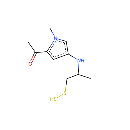 CC(=O)c1cc(NC(C)CSS)cn1C